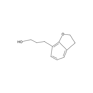 OCCCc1cccc2c1OCC2